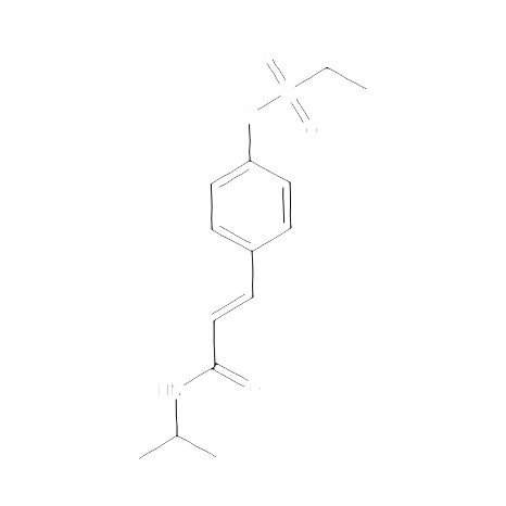 CCS(=O)(=O)Oc1ccc(/C=C/C(=O)NC(C)C)cc1